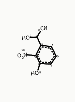 N#CC(O)c1cccc(O)c1[N+](=O)[O-]